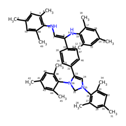 Cc1cc(C)c(N/C=C(\Nc2c(C)cc(C)cc2C)c2ccc(C3=CN(c4c(C)cc(C)cc4C)CN3c3c(C)cc(C)cc3C)cc2)c(C)c1